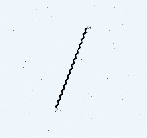 [CH]=C/C=C/CCCCCCCCCCCCCCCCCCCCCCCCCCCCC